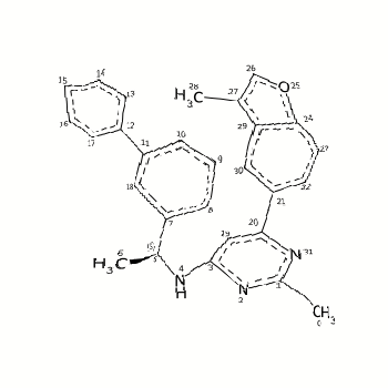 Cc1nc(N[C@@H](C)c2cccc(-c3ccccc3)c2)cc(-c2ccc3occ(C)c3c2)n1